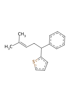 CC(C)=CCC(c1ccccc1)c1cccs1